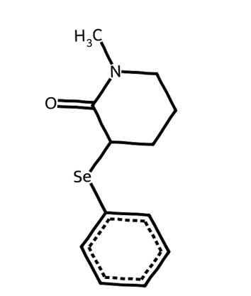 CN1CCCC([Se]c2ccccc2)C1=O